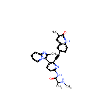 CNC(C)C(=O)Nc1ccc(-c2c(C)nc3ccccn23)c(C#Cc2ccc3[nH]c(=O)c(C)cc3c2)n1